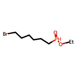 CCO[PH](=O)CCCCCCBr